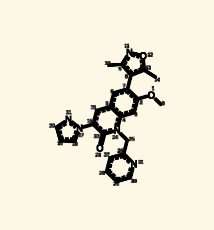 COc1cc2c(cc1-c1c(C)noc1C)cc(-n1cccn1)c(=O)n2Cc1ccccn1